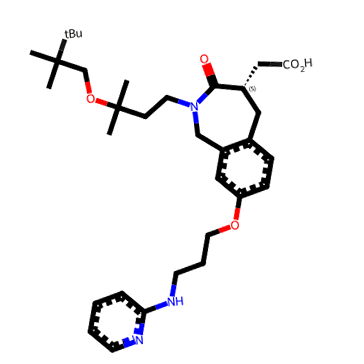 CC(C)(CCN1Cc2cc(OCCCNc3ccccn3)ccc2C[C@@H](CC(=O)O)C1=O)OCC(C)(C)C(C)(C)C